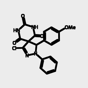 COc1ccc(C2N(c3ccccc3)N=C(Cl)C23C(=O)NC(=O)NC3=O)cc1